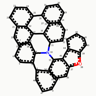 c1ccc(-c2ccccc2N(c2ccccc2-c2cccc3cccc(-c4ccccc4)c23)c2cccc3oc4ccccc4c23)cc1